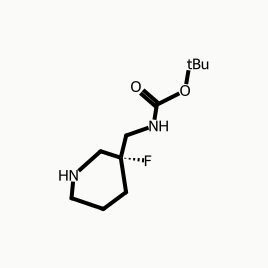 CC(C)(C)OC(=O)NC[C@@]1(F)CCCNC1